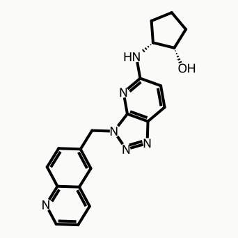 O[C@H]1CCC[C@H]1Nc1ccc2nnn(Cc3ccc4ncccc4c3)c2n1